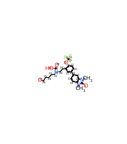 Cn1c(=O)n(C)c2cc(-c3ccc(OC(F)(F)F)c(CCN(CCCCC=O)C(=O)O)c3)ccc21